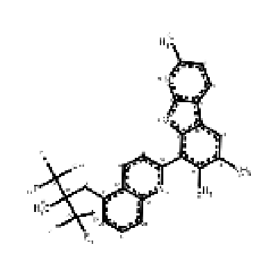 Cc1ccc2c(n1)oc1c(-c3ccc4c(CC(C)(C(F)(F)F)C(F)(F)F)cccc4n3)c(C)c(C)cc12